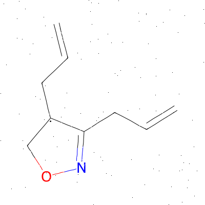 C=CC[C]1CON=C1CC=C